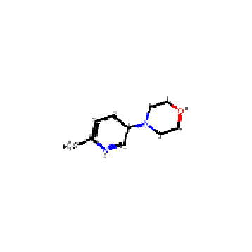 CC1=CCC(N2CCOCC2)C=N1